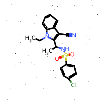 CCn1c(C(C)NS(=O)(=O)c2ccc(Cl)cc2)c(C#N)c2ccccc21